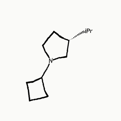 CC(C)[C@H]1CCN(C2CCC2)C1